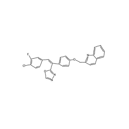 Fc1cc(C=C(c2ccc(OCc3ccc4ccccc4n3)cc2)c2nnco2)ccc1Cl